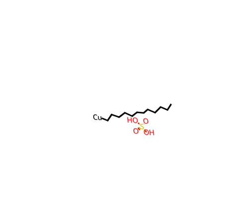 CCCCCCCCCCC[CH2][Cu].O=S(=O)(O)O